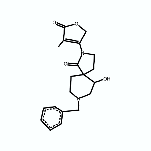 CC1=C(N2CCC3(CCN(Cc4ccccc4)CC3O)C2=O)COC1=O